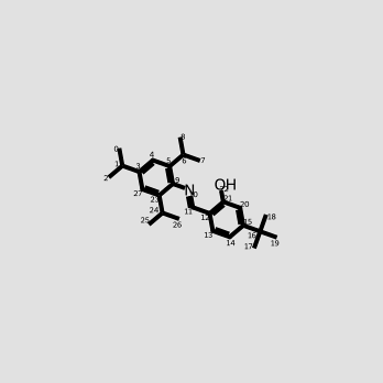 CC(C)c1cc(C(C)C)c(/N=C/c2ccc(C(C)(C)C)cc2O)c(C(C)C)c1